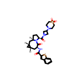 O=C(N[C@H]1C[C@@H]2C[C@@H]2C[C@H]2CC[C@@H](C(=O)N3CC(N4CCS(=O)(=O)CC4)C3)N2C1=O)c1cc2ccccc2s1